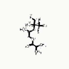 C=C(C)C(=O)OCC(C)CC(O)(CF)C(F)(F)F